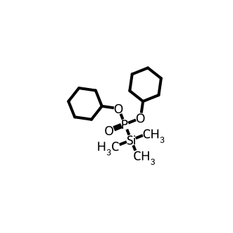 C[Si](C)(C)P(=O)(OC1CCCCC1)OC1CCCCC1